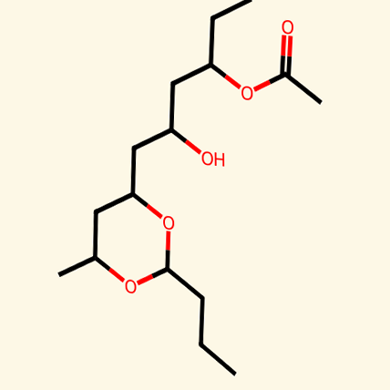 CCCC1OC(C)CC(CC(O)CC(CC)OC(C)=O)O1